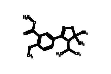 COC(=O)c1cc(C2=NOC(C)(C)N2C(C)C)ccc1OC